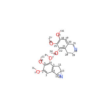 COc1cc2c(c(OC)c1OC)CC1N=C21.COc1cc2c(c(OC)c1OC)CCN=C2